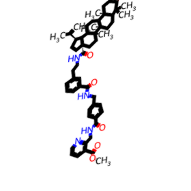 C=C(C)[C@@H]1CC[C@]2(C(=O)NCCc3cccc(C(=O)NCc4ccc(C(=O)NCc5ncccc5C(=O)OC)cc4)c3)CC[C@]3(C)C(CCC4[C@@]5(C)CC[C@H](O)C(C)(C)C5CC[C@]43C)C12